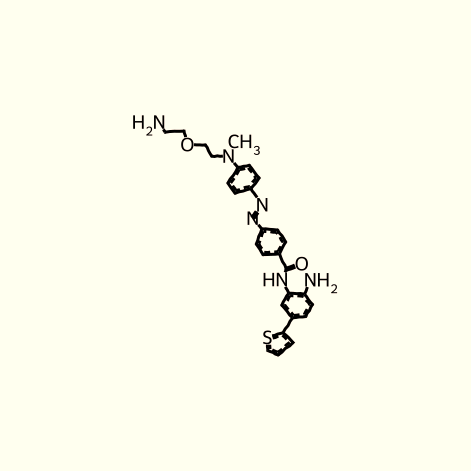 CN(CCOCCN)c1ccc(/N=N/c2ccc(C(=O)Nc3cc(-c4cccs4)ccc3N)cc2)cc1